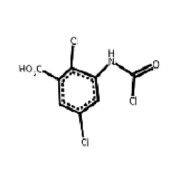 O=C(Cl)Nc1cc(Cl)cc(C(=O)O)c1Cl